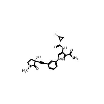 CN1CC[C@@](O)(C#Cc2cccc(-n3cc(NC(=O)[C@H]4C[C@H]4F)c(C(N)=O)n3)c2)C1=O